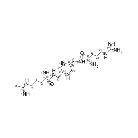 CC(=N)NCCC[C@H](N)C(=O)NC[C@H]1CN[C@@H](CNC(=O)[C@@H](N)CCCNC(=N)N)CN1